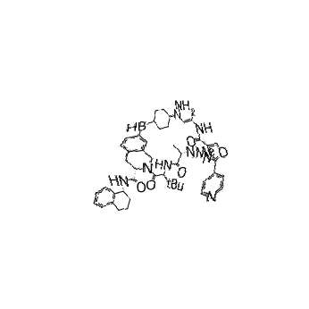 CN[C@@H](C)C(=O)N[C@H](C(=O)N1Cc2cc(BC3CCC(N(N)/C=C(\C)NC(=O)c4coc(-c5ccncc5)n4)CC3)ccc2C[C@H]1C(=O)N[C@@H]1CCCc2ccccc21)C(C)(C)C